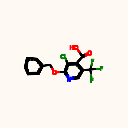 O=C(O)c1c(C(F)(F)F)cnc(OCc2ccccc2)c1Cl